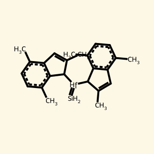 CC1=Cc2c(C)ccc(C)c2[CH]1[Hf](=[SiH2])[CH]1C(C)=Cc2c(C)ccc(C)c21